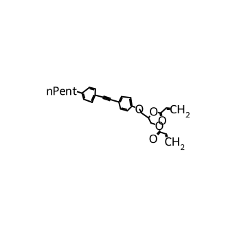 C=CC(=O)OCC(COc1ccc(C#Cc2ccc(CCCCC)cc2)cc1)OC(=O)C=C